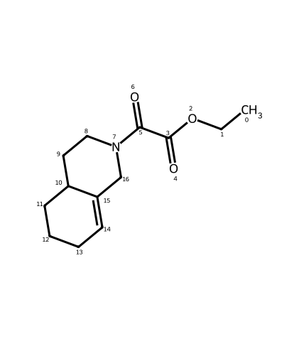 CCOC(=O)C(=O)N1CCC2CCCC=C2C1